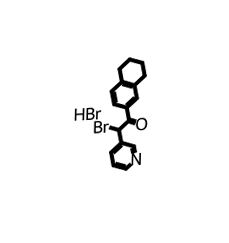 Br.O=C(c1ccc2c(c1)CCCC2)C(Br)c1cccnc1